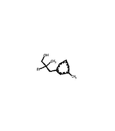 CCC(C)(CO)Cc1cccc(C)c1